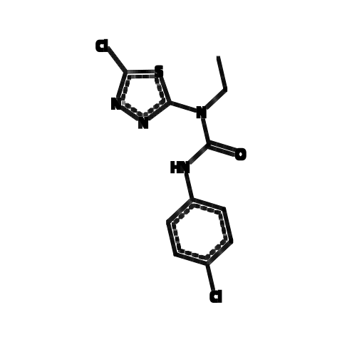 CCN(C(=O)Nc1ccc(Cl)cc1)c1nnc(Cl)s1